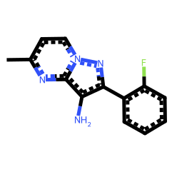 Cc1ccn2nc(-c3ccccc3F)c(N)c2n1